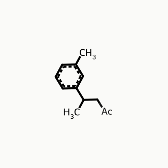 CC(=O)CC(C)c1cccc(C)c1